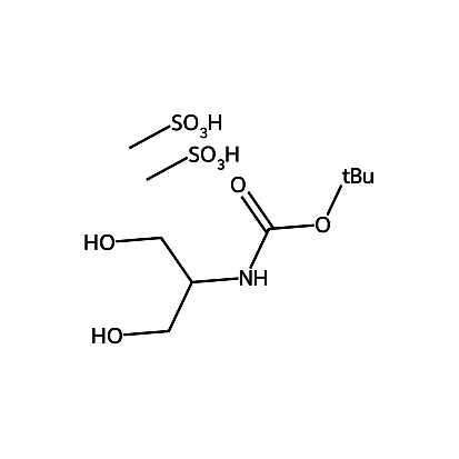 CC(C)(C)OC(=O)NC(CO)CO.CS(=O)(=O)O.CS(=O)(=O)O